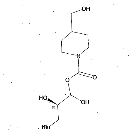 CC(C)(C)C[C@@H](O)C(O)OC(=O)N1CCC(CO)CC1